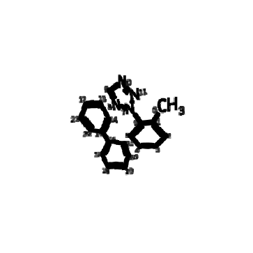 Cc1ccccc1-n1ncnn1.c1ccc(-c2ccccc2)cc1